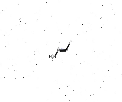 N/N=C/I